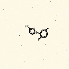 Cc1ccc(I)c(-n2ccc(C(C)C)n2)c1